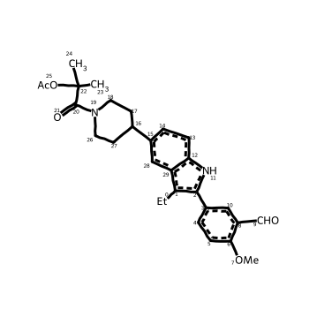 CCc1c(-c2ccc(OC)c(C=O)c2)[nH]c2ccc(C3CCN(C(=O)C(C)(C)OC(C)=O)CC3)cc12